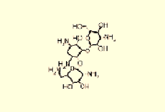 NC[C@H]1O[C@H](O[C@H]2[C@H](O[C@@H]3O[C@H](CO)[C@@H](O)[C@H](N)[C@H]3O)[C@@H](O)[C@H](N)C[C@@H]2N)[C@H](N)[C@@H](O)[C@@H]1O